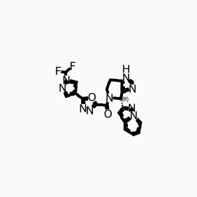 O=C(c1nnc(-c2cnn(C(F)F)c2)o1)N1CCc2[nH]cnc2[C@@H]1c1cc2ccccn2n1